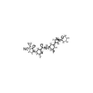 Cc1cc(N2CC[C@@](C#N)(C3CC3)C2=O)cc(C(=O)NCc2cc(F)cc(-c3cnn(C4CCCCO4)c3)c2)n1